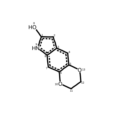 Oc1cc2cc3c(cc2[nH]1)OCCO3